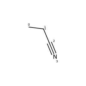 C[C]C#N